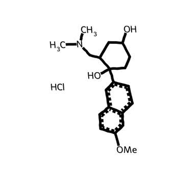 COc1ccc2cc(C3(O)CCC(O)CC3CN(C)C)ccc2c1.Cl